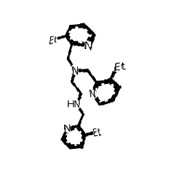 CCc1cccnc1CNCCN(Cc1ncccc1CC)Cc1ncccc1CC